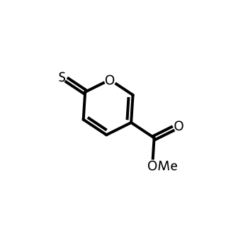 COC(=O)c1ccc(=S)oc1